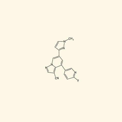 Cn1ccc(-c2cc(-c3ccc(F)nc3)c3c(C#N)cnn3c2)n1